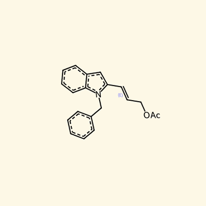 CC(=O)OC/C=C/c1cc2ccccc2n1Cc1ccccc1